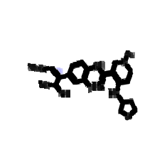 CN/C=C(\C(=N)C#N)c1ccc(NC(=N)C2=C(NC3CCOC3)CCN(C(C)=O)C2)c(F)c1